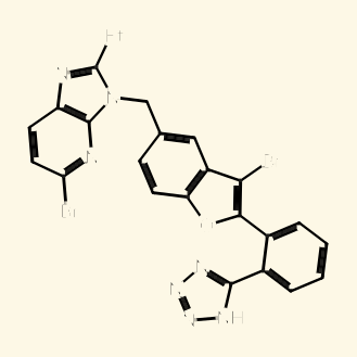 CCc1nc2ccc(Br)nc2n1Cc1ccc2oc(-c3ccccc3-c3nnn[nH]3)c(Br)c2c1